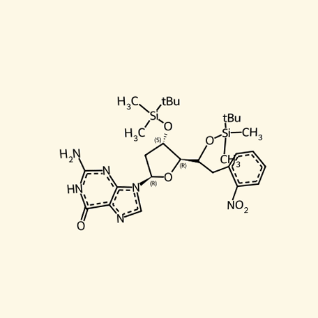 CC(C)(C)[Si](C)(C)OC(Cc1ccccc1[N+](=O)[O-])[C@H]1O[C@@H](n2cnc3c(=O)[nH]c(N)nc32)C[C@@H]1O[Si](C)(C)C(C)(C)C